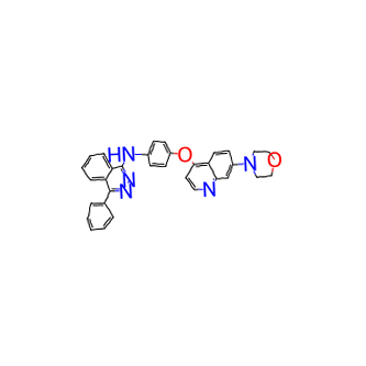 c1ccc(-c2nnc(Nc3ccc(Oc4ccnc5cc(N6CCOCC6)ccc45)cc3)c3ccccc23)cc1